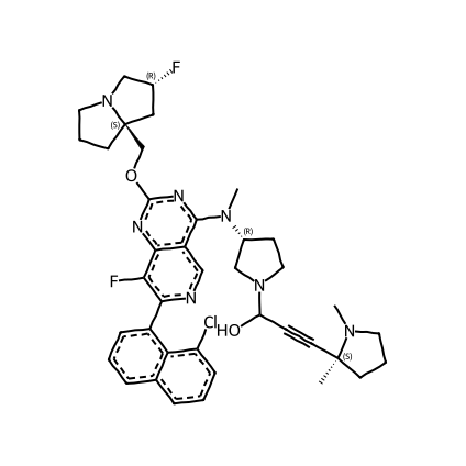 CN(c1nc(OC[C@@]23CCCN2C[C@H](F)C3)nc2c(F)c(-c3cccc4cccc(Cl)c34)ncc12)[C@@H]1CCN(C(O)C#C[C@]2(C)CCCN2C)C1